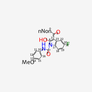 CCCCCCCCCC(=O)c1c(O)n(C(=O)Nc2ccc(OC)cc2)c2ccc(F)cc12